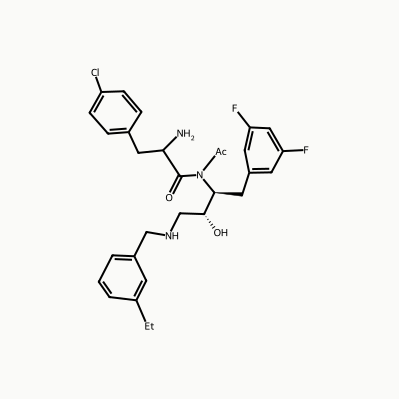 CCc1cccc(CNC[C@@H](O)[C@H](Cc2cc(F)cc(F)c2)N(C(C)=O)C(=O)C(N)Cc2ccc(Cl)cc2)c1